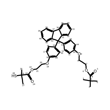 CC(C)(C)C(=O)OCCOc1ccc(C2(c3ccc(OCCOC(=O)C(C)(C)S)cc3)c3ccccc3-c3ccccc32)cc1